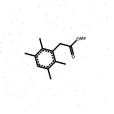 COC(=O)Cc1c(C)c(C)cc(C)c1C